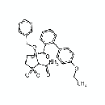 CCOc1ccc(-c2ccccc2C(=O)[N@@+]2(OCc3ccccc3)CCS(=O)(=O)C2C(N)=O)cc1